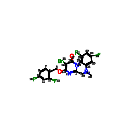 Cc1nc(OCc2ccc(F)cc2F)c(Br)c(=O)n1-c1c(F)cc(F)cc1N(C)C